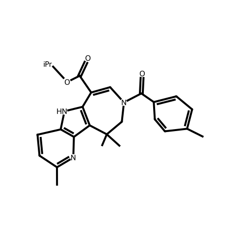 Cc1ccc(C(=O)N2C=C(C(=O)OC(C)C)c3[nH]c4ccc(C)nc4c3C(C)(C)C2)cc1